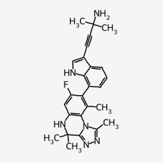 Cc1c(-c2cccc3c(C#CC(C)(C)N)c[nH]c23)c(F)cc2c1-n1c(C)nnc1C(C)(C)N2